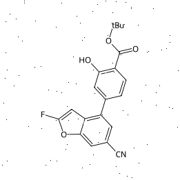 CC(C)(C)OC(=O)c1ccc(-c2cc(C#N)cc3oc(F)cc23)cc1O